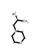 CC(C)[C@@H](C)CN1CCOCC1